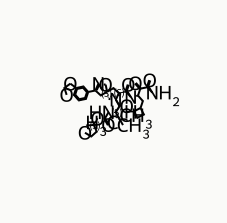 CC(C)(C)[C@H](NC(=O)O[C@H]1CCOC1)C(=O)N1C[C@@]2(CC(c3ccc4c(c3)OCO4)=NO2)C[C@H]1C(=O)NC(CC1CCC1)C(=O)C(N)=O